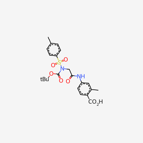 Cc1ccc(S(=O)(=O)N(CC(=O)Nc2ccc(C(=O)O)c(C)c2)C(=O)OC(C)(C)C)cc1